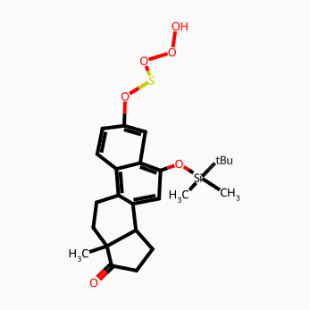 CC12CCc3c(cc(O[Si](C)(C)C(C)(C)C)c4cc(OSOOO)ccc34)C1CCC2=O